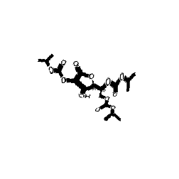 CC(C)OC(=O)OC[C@H](OC(=O)OC(C)C)[C@H]1OC(=O)C(OC(=O)OC(C)C)=C1O